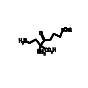 CCCCCCCCCCCC(=O)C(N)(CCN)C(=O)O